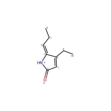 CC/C=C1/NC(=O)C=C1CC